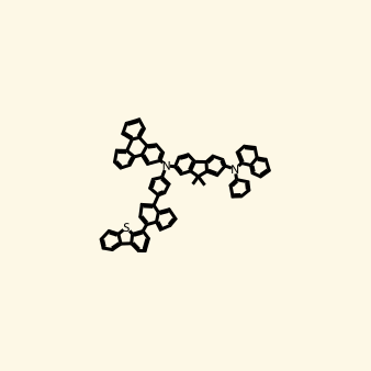 CC1(C)c2cc(N(c3ccc(-c4ccc(-c5cccc6c5sc5ccccc56)c5ccccc45)cc3)c3ccc4c5ccccc5c5ccccc5c4c3)ccc2-c2ccc(N(c3ccccc3)c3cccc4ccccc34)cc21